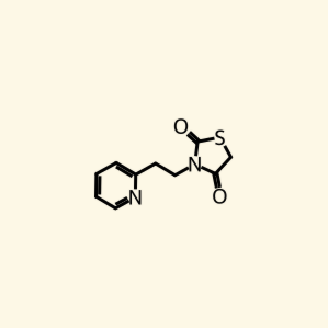 O=C1CSC(=O)N1CCc1ccccn1